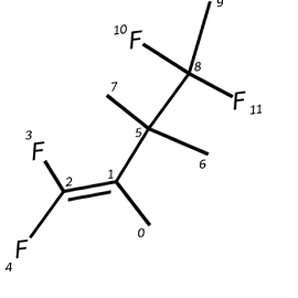 CC(=C(F)F)C(C)(C)C(C)(F)F